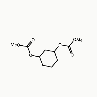 COC(=O)OC1CCCC(OC(=O)OC)C1